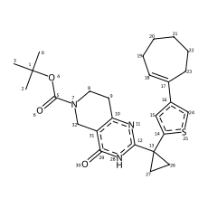 CC(C)(C)OC(=O)N1CCc2nc(C3(c4cc(C5=CCCCCC5)cs4)CC3)[nH]c(=O)c2C1